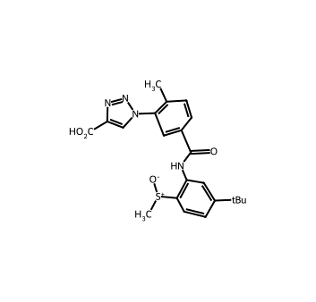 Cc1ccc(C(=O)Nc2cc(C(C)(C)C)ccc2[S+](C)[O-])cc1-n1cc(C(=O)O)nn1